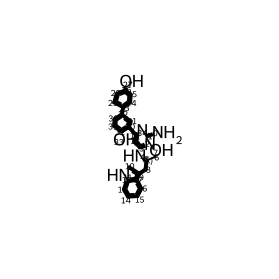 Nc1nc(N[C@@H](CO)Cc2c[nH]c3ccccc23)cc(-c2cc(-c3ccc(O)cc3)ccc2O)n1